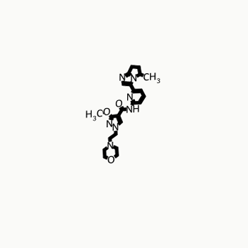 COc1nn(CCN2CCOCC2)cc1C(=O)Nc1cccc(-c2cnc3n2C(C)CC3)n1